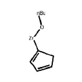 CCCC[O][Zr][C]1=CC=CC1